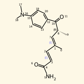 CC(/C=C/C(N)=O)=C\[C@@H](C)C(=O)c1ccc(N(C)C)cc1